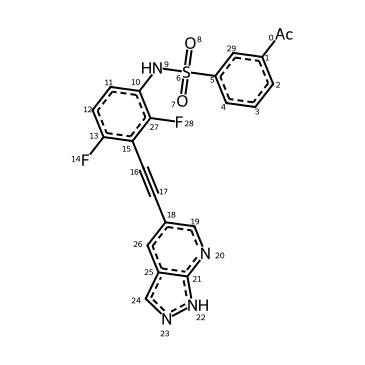 CC(=O)c1cccc(S(=O)(=O)Nc2ccc(F)c(C#Cc3cnc4[nH]ncc4c3)c2F)c1